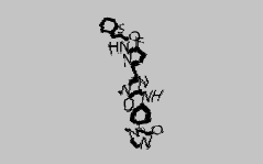 CN1CCN(C)[C@H](c2ccc(Nc3nc(-c4ccc(F)c(NC(=O)c5cc6c(s5)CCCC6)n4)cn(C)c3=O)cc2)C1=O